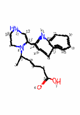 CC(CCCC(=O)O)N1CCNCC1c1ccc2ccccc2n1